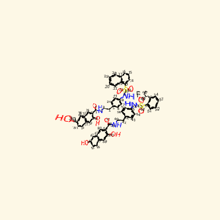 O=C(NCCc1ccc(NS(=O)(=O)c2cccc3ccccc23)cc1)c1cc2cc(O)ccc2cc1O.O=C(NCCc1ccc(NS(=O)(=O)c2ccccc2C(F)(F)F)cc1)c1cc2cc(O)ccc2cc1O